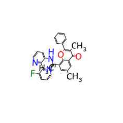 Cc1cc([C@@H](C)Nc2cccnc2-c2ncccc2F)c2oc(-c3ccccc3)c(C)c(=O)c2c1